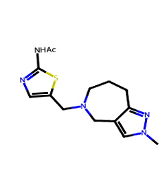 CC(=O)Nc1ncc(CN2CCCc3nn(C)cc3C2)s1